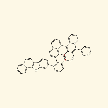 c1ccc(-c2c3ccccc3c(-c3cccc4ccc5c(ccc6cccc(-c7ccc8c(c7)oc7c9ccccc9ccc87)c65)c34)c3ccccc23)cc1